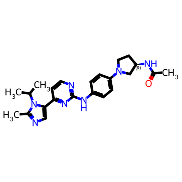 CC(=O)N[C@@H]1CCN(c2ccc(Nc3nccc(-c4cnc(C)n4C(C)C)n3)cc2)C1